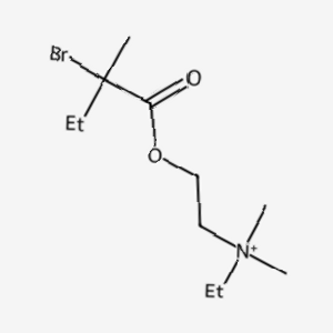 CCC(C)(Br)C(=O)OCC[N+](C)(C)CC